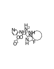 NC1NN2C(NCC(F)C23CCCCCCCCC3)C1C(=O)Nc1cnccc1OC1COC1